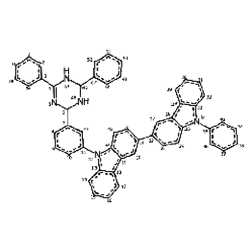 c1ccc(C2=NC(c3cccc(-n4c5ccccc5c5cc(-c6ccc7c(c6)c6ccccc6n7-c6ccccc6)ccc54)c3)NC(c3ccccc3)N2)cc1